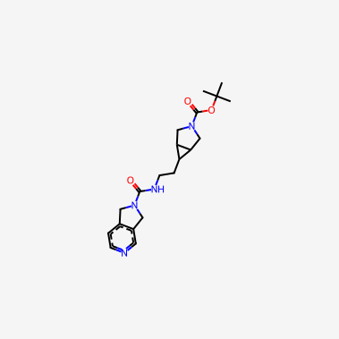 CC(C)(C)OC(=O)N1CC2C(CCNC(=O)N3Cc4ccncc4C3)C2C1